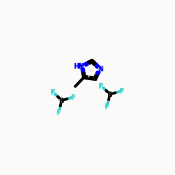 Cc1cnc[nH]1.FB(F)F.FB(F)F